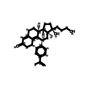 C=C(C)c1ccc([C@H]2C[C@@]3(C)[C@@H](CC[C@@]3(O)CCCO)[C@@H]3CCC4=CC(=O)CCC4=C32)cc1